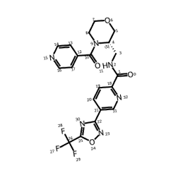 O=C(NC[C@H]1COCCN1C(=O)c1ccncc1)c1ccc(-c2noc(C(F)(F)F)n2)cn1